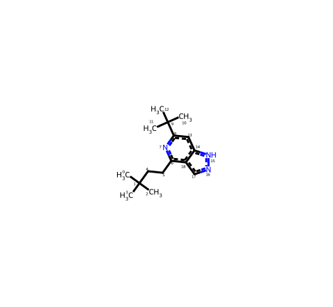 CC(C)(C)CCc1nc(C(C)(C)C)cc2[nH]ncc12